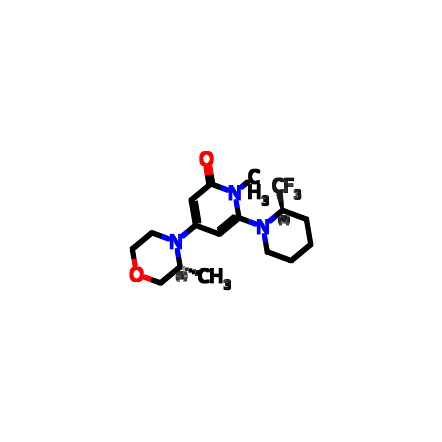 C[C@@H]1COCCN1c1cc(N2CCCC[C@@H]2C(F)(F)F)n(C)c(=O)c1